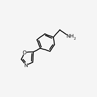 NCc1ccc(-c2cnco2)cc1